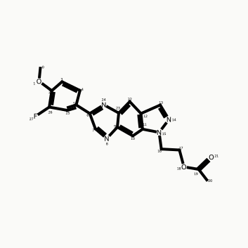 COc1ccc(-c2cnc3cc4c(cnn4CCOC(C)=O)cc3n2)cc1F